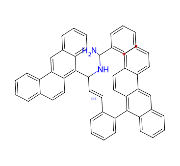 NC(NC(/C=C/c1ccccc1-c1c2ccccc2cc2c1ccc1ccccc12)c1c2ccccc2cc2c1ccc1ccccc12)c1ccccc1